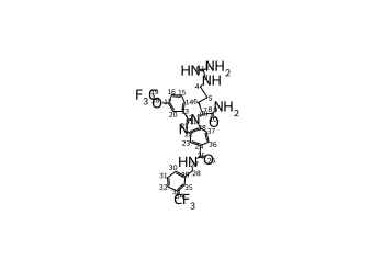 N=C(N)NCCC[C@@H](C(N)=O)n1c(-c2cccc(OC(F)(F)F)c2)nc2cc(C(=O)NCc3cccc(C(F)(F)F)c3)ccc21